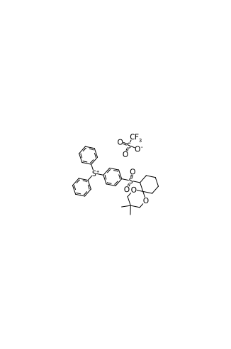 CC1(C)COC2(CCCCC2S(=O)(=O)c2ccc([S+](c3ccccc3)c3ccccc3)cc2)OC1.O=S(=O)([O-])C(F)(F)F